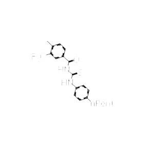 CCCCCc1ccc(NC(=S)NC(=O)c2ccc(C)c(C(F)(F)F)c2)cc1